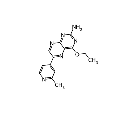 CCOc1nc(N)nc2ncc(-c3ccnc(C)c3)nc12